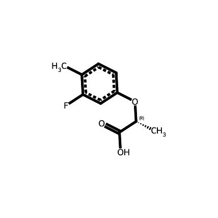 Cc1ccc(O[C@H](C)C(=O)O)cc1F